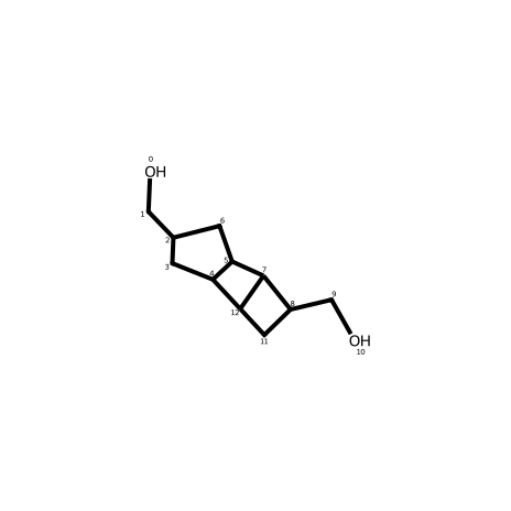 OCC1CC2C(C1)C1C(CO)CC21